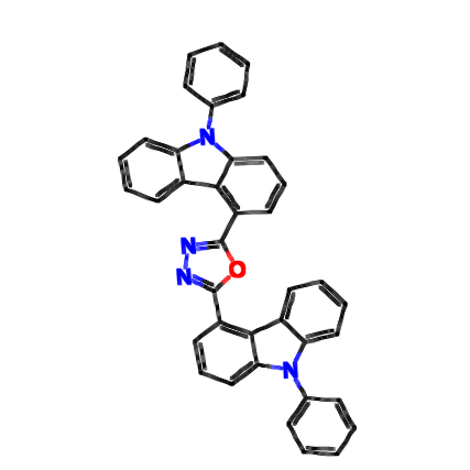 c1ccc(-n2c3ccccc3c3c(-c4nnc(-c5cccc6c5c5ccccc5n6-c5ccccc5)o4)cccc32)cc1